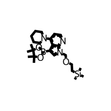 CC1(C)OB(c2cn(COCC[Si](C)(C)C)c3nccc(N4CCCCC4)c23)OC1(C)C